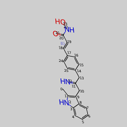 Cc1[nH]c2ccccc2c1CC(=N)Cc1ccc(/C=C/C(=O)NO)cc1